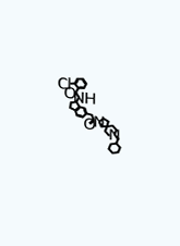 O=C(NC1CCc2ccc(CC(=O)N3CCC4(CCN(CC5CCCCC5)CC4)C3)cc21)c1ccccc1Cl